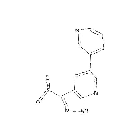 O=[SH](=O)c1n[nH]c2ncc(-c3cccnc3)cc12